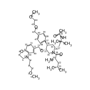 COCCCN1CCOc2ccc(CO[C@H]3CN(C(=O)[C@@H](N)CC(C)C)[C@@H](CC(C)(C)NC(C)=O)C[C@@H]3c3ccc(COCCOC)cc3)cc21